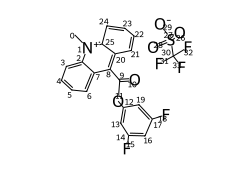 C[n+]1c2ccccc2c(C(=O)Oc2cc(F)cc(F)c2)c2ccccc21.O=S(=O)([O-])C(F)(F)F